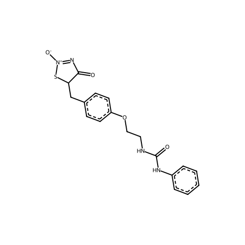 O=C(NCCOc1ccc(CC2S[N+]([O-])=NC2=O)cc1)Nc1ccccc1